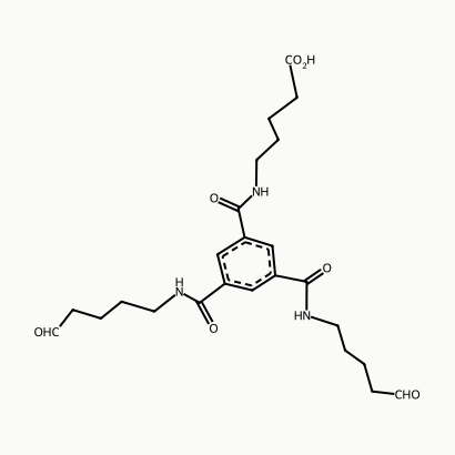 O=CCCCCNC(=O)c1cc(C(=O)NCCCCC=O)cc(C(=O)NCCCCC(=O)O)c1